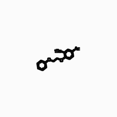 CC(=O)c1ccc(OCCOc2ccccc2)c(C(C)(C)C)c1